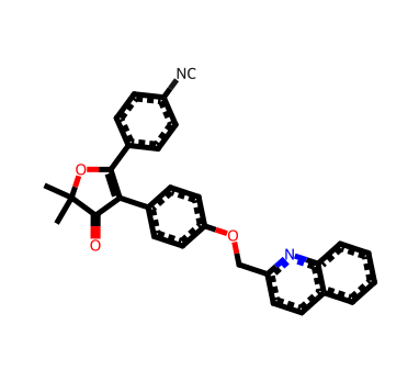 [C-]#[N+]c1ccc(C2=C(c3ccc(OCc4ccc5ccccc5n4)cc3)C(=O)C(C)(C)O2)cc1